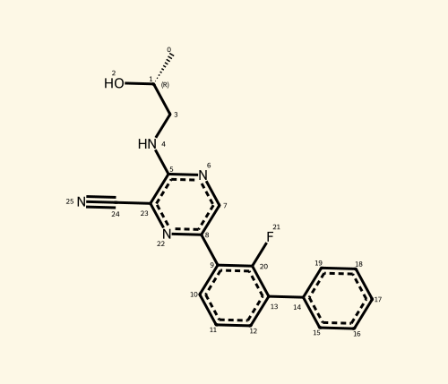 C[C@@H](O)CNc1ncc(-c2cccc(-c3ccccc3)c2F)nc1C#N